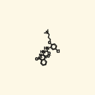 CN(C)CCCOc1ccc(Cl)cc1NC(=O)Nc1n[n+]([O-])c2ccccc2[n+]1[O-]